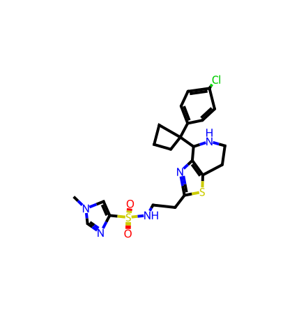 Cn1cnc(S(=O)(=O)NCCc2nc3c(s2)CCNC3C2(c3ccc(Cl)cc3)CCC2)c1